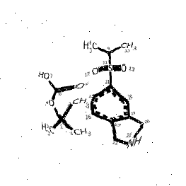 CC(C)(C)OC(=O)O.CC(C)S(=O)(=O)c1ccc2c(c1)CNC2